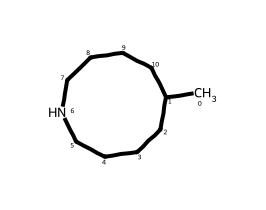 CC1CCCCNCCCC1